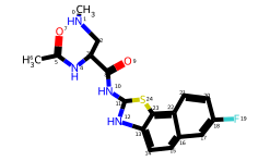 CNCC(NC(C)=O)C(=O)NC1Nc2ccc3cc(F)ccc3c2S1